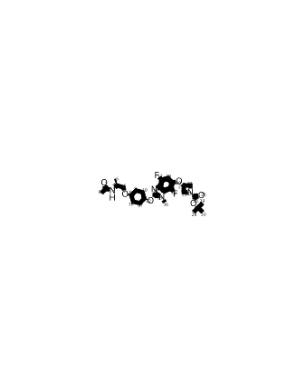 CC(=O)N[C@@H](C)CO[C@H]1CC[C@H](Oc2nc3c(F)cc(OC4CN(C(=O)OC(C)(C)C)C4)c(F)c3n2C)CC1